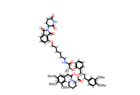 CC[C@H](C(=O)N1CCCC[C@H]1C(=O)O[C@H](CCc1ccc(OC)c(OC)c1)c1ccccc1OCC(=O)NCCCCCCOc1cccc2c1C(=O)N(C1CCC(=O)NC1=O)C2=O)c1cc(OC)c(OC)c(OC)c1